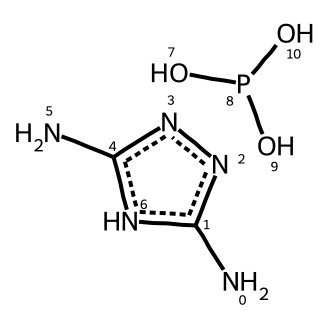 Nc1nnc(N)[nH]1.OP(O)O